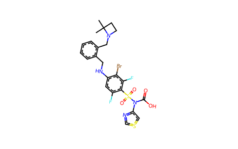 CC1(C)CCN1Cc1ccccc1CNc1cc(F)c(S(=O)(=O)N(C(=O)O)c2cscn2)c(F)c1Br